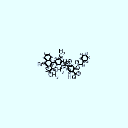 Cc1cc(-c2c3ccccc3c(Br)c3sc(C)c(C)c23)cc(C)c1OS(=O)(=O)c1ccc(C(=O)O)c(OC(=O)Cc2ccccc2)c1